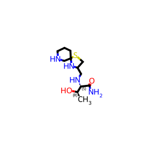 C[C@@H](O)[C@H](NCC1CSC2(CCCNC2)N1)C(N)=O